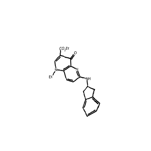 CCOC(=O)c1cn(CC)c2ccc(NC3Cc4ccccc4C3)nc2c1=O